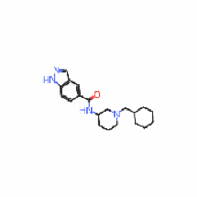 O=C(NC1CCCN(CC2CCCCC2)C1)c1ccc2[nH]ncc2c1